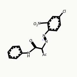 CC(=O)C(/N=N/c1ccc(Cl)cc1[N+](=O)[O-])C(=O)Nc1ccccc1